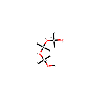 CO[Si](C)(C)O[Si](C)(C)O[Si](C)(C)O